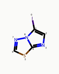 Ic1cnc2scnn12